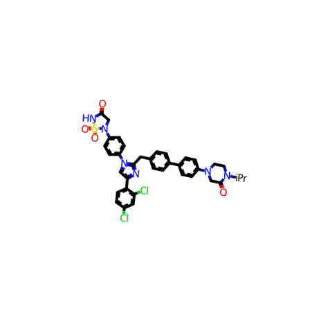 CC(C)N1CCN(c2ccc(-c3ccc(Cc4nc(-c5ccc(Cl)cc5Cl)cn4-c4ccc(N5CC(=O)NS5(=O)=O)cc4)cc3)cc2)CC1=O